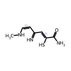 CN/C=C\C(=N)/C=C(\S)C(N)=O